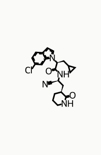 N#C[C@H](C[C@@H]1CCCNC1=O)NC(=O)[C@H](CC1CC1)n1ccc2ccc(Cl)cc21